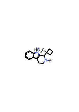 CC(=O)N1CCc2c([nH]c3ccccc23)C1C1(C(=O)O)CCC1